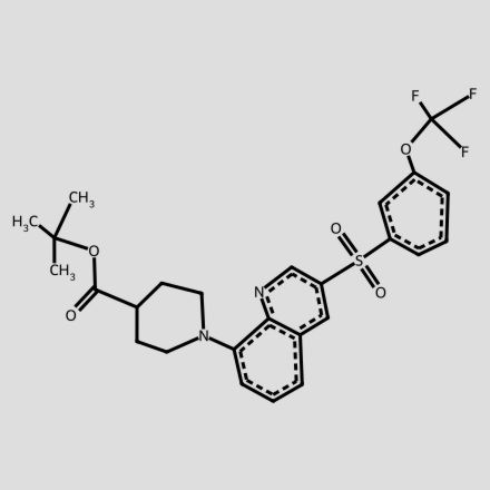 CC(C)(C)OC(=O)C1CCN(c2cccc3cc(S(=O)(=O)c4cccc(OC(F)(F)F)c4)cnc23)CC1